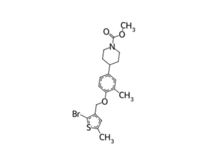 COC(=O)N1CCC(c2ccc(OCc3cc(C)sc3Br)c(C)c2)CC1